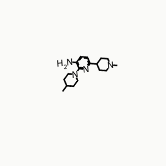 CC1CCN(c2nc(C3CCN(C)CC3)ccc2N)CC1